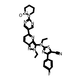 CCN(c1nc(-c2ccc(F)cc2)c(C#N)s1)c1c2nc(-c3cnc(N4CCCC[S+]4[O-])nc3)ccc2nn1CC